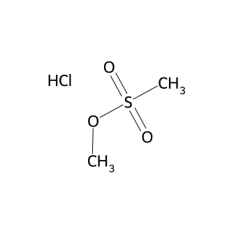 COS(C)(=O)=O.Cl